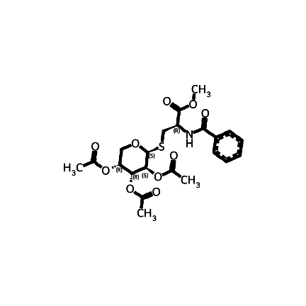 COC(=O)[C@H](CS[C@@H]1OC[C@@H](OC(C)=O)[C@@H](OC(C)=O)[C@@H]1OC(C)=O)NC(=O)c1ccccc1